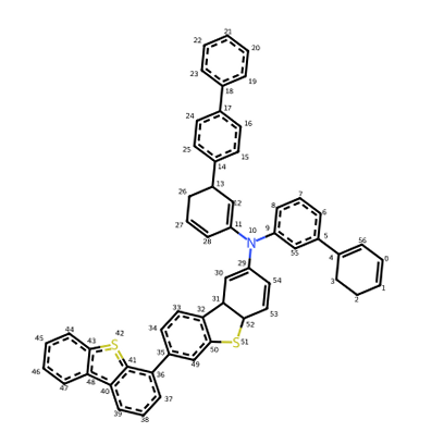 C1=CCCC(c2cccc(N(C3=CC(c4ccc(-c5ccccc5)cc4)CC=C3)C3=CC4c5ccc(-c6cccc7c6sc6ccccc67)cc5SC4C=C3)c2)=C1